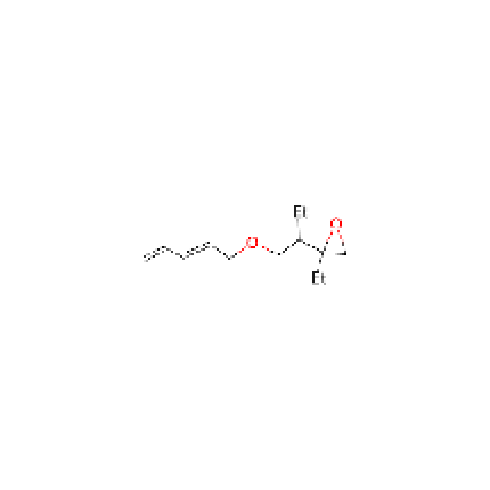 C=CC=CCOCC(CC)C1(CC)CO1